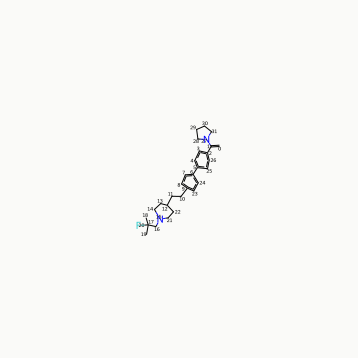 C=C(c1ccc(-c2ccc(CCC3CCN(CC(C)(C)F)CC3)cc2)cc1)N1CCCC1